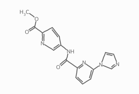 COC(=O)c1ccc(NC(=O)c2cccc(-n3ccnc3)n2)cn1